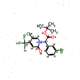 CC(C)(C)OC(=O)C(c1cccc(Br)c1)n1cc(Cl)c(C(F)(F)F)cc1=O